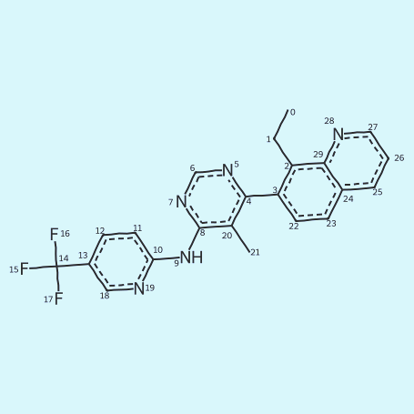 CCc1c(-c2ncnc(Nc3ccc(C(F)(F)F)cn3)c2C)ccc2cccnc12